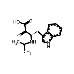 CC(C)N[C@@H](Cc1c[nH]c2ccccc12)C(=O)C(=O)O